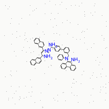 Nc1c(N(Cc2cccc(-c3ccc(C(N)[N@]4CN4/C(=C\C(N)c4ccc5ccccc5c4)c4ccc5ccccc5c4)cc3)c2)c2ccccc2)c2ccccc2c2ccccc12